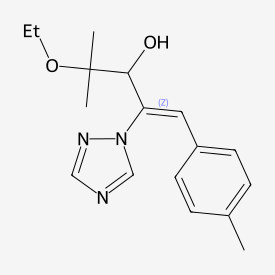 CCOC(C)(C)C(O)/C(=C/c1ccc(C)cc1)n1cncn1